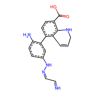 N=C/C=N\Nc1ccc(N)c(-c2ccc(C(=O)O)c3c2C=CCN3)c1